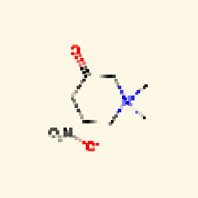 C[N+]1(C)CCCC(=O)C1.O=[N+]([O-])[O-]